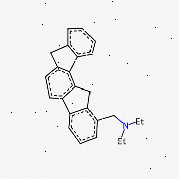 CCN(CC)Cc1cccc2c1Cc1c-2ccc2c1-c1ccccc1C2